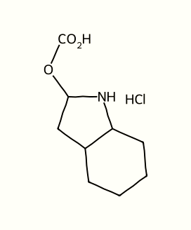 Cl.O=C(O)OC1CC2CCCCC2N1